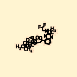 CCC(CC(=O)c1cccc2nc(C)c(NCC(F)F)nc12)C(=O)C1(NC(=O)OC(C)(C)C)CC1